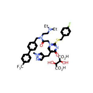 CCN(CC)CCN(Cc1ccc(-c2ccc(C(F)(F)F)cc2)cc1)C(=O)Cn1cc(Cc2cnn(C)c2)c(=O)nc1SCc1ccc(F)cc1.O=C(O)C(O)C(O)C(=O)O